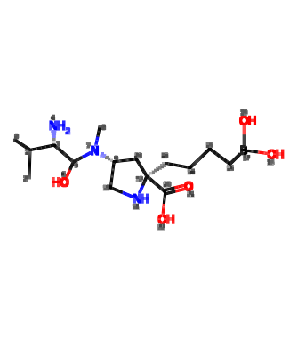 CC(C)[C@H](N)C(O)N(C)[C@H]1CN[C@](CCCCB(O)O)(C(=O)O)C1